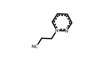 N#CCC[n+]1ccccn1